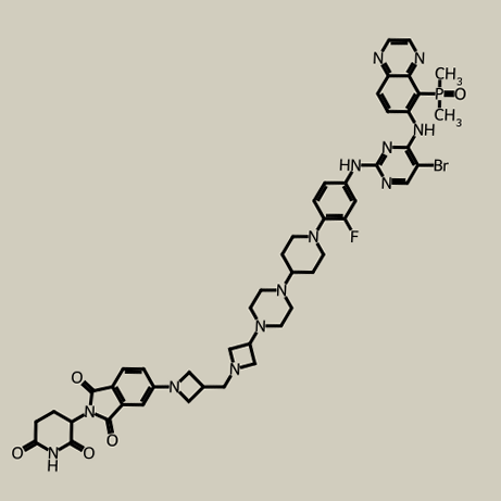 CP(C)(=O)c1c(Nc2nc(Nc3ccc(N4CCC(N5CCN(C6CN(CC7CN(c8ccc9c(c8)C(=O)N(C8CCC(=O)NC8=O)C9=O)C7)C6)CC5)CC4)c(F)c3)ncc2Br)ccc2nccnc12